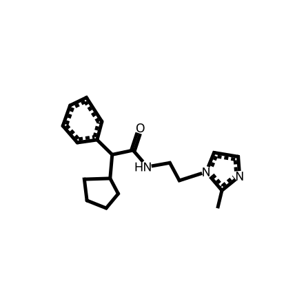 Cc1nccn1CCNC(=O)C(c1ccccc1)C1CCCC1